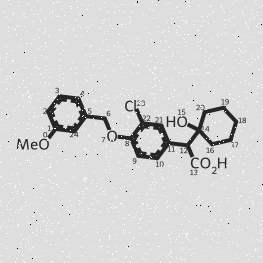 COc1cccc(COc2ccc(C(C(=O)O)C3(O)CCCCC3)cc2Cl)c1